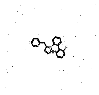 Fc1ccccc1-c1ccccc1N1NC=CC1Cc1ccccc1